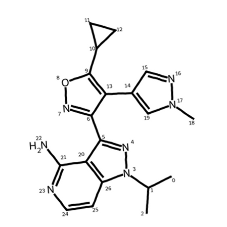 CC(C)n1nc(-c2noc(C3CC3)c2-c2cnn(C)c2)c2c(N)nccc21